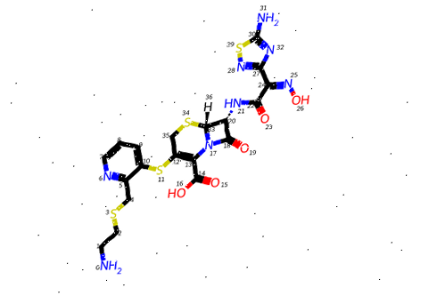 NCCSCc1ncccc1SC1=C(C(=O)O)N2C(=O)[C@@H](NC(=O)/C(=N\O)c3nsc(N)n3)[C@H]2SC1